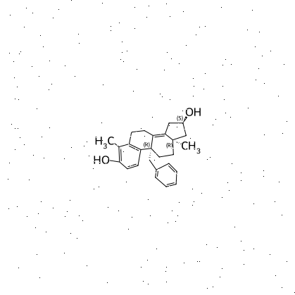 Cc1c(O)ccc2c1CCC1=C3C[C@@H](O)C[C@@]3(C)CC[C@]12Cc1ccccc1